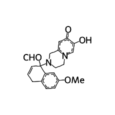 COc1ccc2c(c1)C(C=O)(N1CCn3cc(O)c(=O)cc3C1)C=CC2